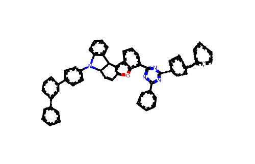 C1=CC2C(c3ccccc3N2c2ccc(-c3cccc(-c4ccccc4)c3)cc2)c2c1oc1c(-c3nc(-c4ccccc4)nc(-c4ccc(-c5ccccc5)cc4)n3)cccc21